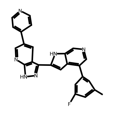 Cc1cc(F)cc(-c2cncc3[nH]c(-c4n[nH]c5ncc(-c6ccncc6)cc45)cc23)c1